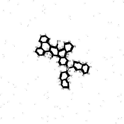 Fc1c2c3ccccc3c3ccccc3c2c(F)c2c3ccc(N(c4ccc5ccccc5c4)c4ccc5ccccc5c4)cc3c3ccccc3c12